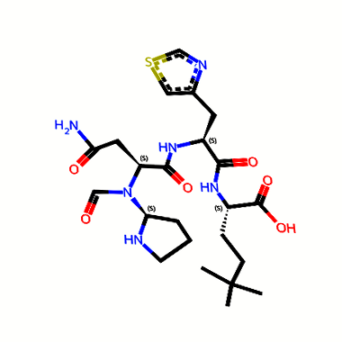 CC(C)(C)CC[C@H](NC(=O)[C@H](Cc1cscn1)NC(=O)[C@H](CC(N)=O)N(C=O)[C@H]1CCCN1)C(=O)O